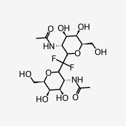 CC(=O)N[C@H]1[C](C(F)(F)[C]2O[C@H](CO)[C@H](O)[C@H](O)[C@H]2NC(C)=O)O[C@H](CO)[C@H](O)[C@@H]1O